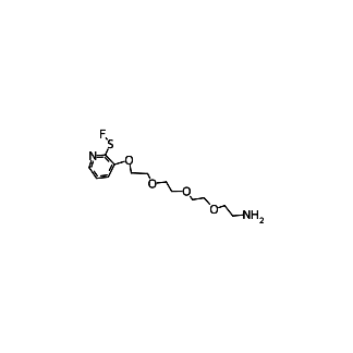 NCCOCCOCCOCCOc1cccnc1SF